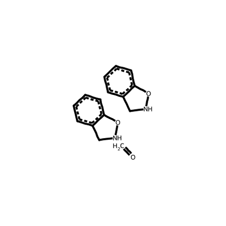 C=O.c1ccc2c(c1)CNO2.c1ccc2c(c1)CNO2